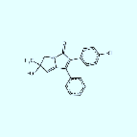 CC1(C)C=C2C(c3ccccc3)=C(c3ccc(Cl)cc3)C(=O)N2C1